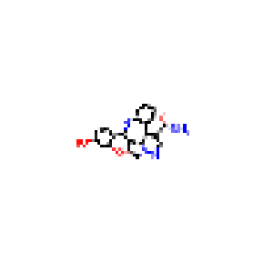 NC(=O)c1cnn2ccc3c2c1-c1ccccc1N=C3c1ccc(O)cc1O